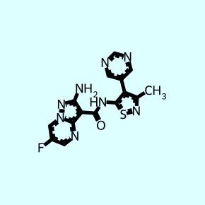 Cc1nsc(NC(=O)c2c(N)nn3cc(F)cnc23)c1-c1cncnc1